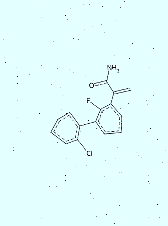 C=C(C(N)=O)c1cccc(-c2ccccc2Cl)c1F